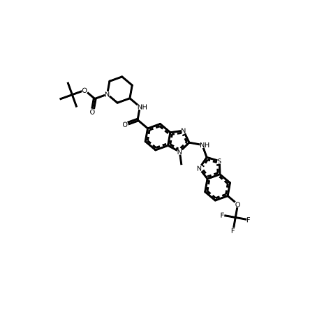 Cn1c(Nc2nc3ccc(OC(F)(F)F)cc3s2)nc2cc(C(=O)NC3CCCN(C(=O)OC(C)(C)C)C3)ccc21